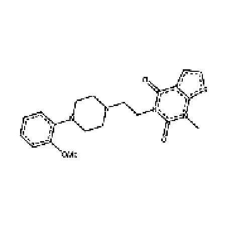 COc1ccccc1N1CCN(CCn2c(=O)c3ccsc3n(C)c2=O)CC1